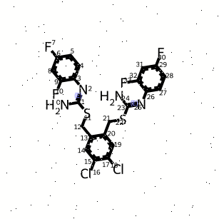 N/C(=N\c1ccc(F)cc1F)SCc1cc(Cl)c(Cl)cc1CS/C(N)=N/c1ccc(F)cc1F